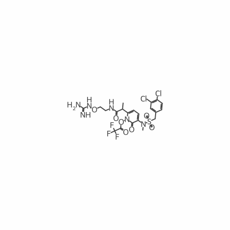 CC(C(=O)NCCONC(=N)N)c1ccc(N(C)S(=O)(=O)Cc2ccc(Cl)c(Cl)c2)c(=O)n1OC(=O)C(F)(F)F